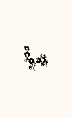 CCOc1cc(C(=O)N2CCC(N3CCCC3)CC2)ccc1Nc1cc2c(cn1)N(C)C(=O)c1scnc1N2C